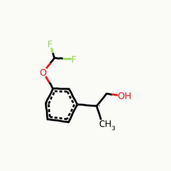 C[C](CO)c1cccc(OC(F)F)c1